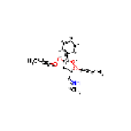 CC#COO[Si](CCCNC)(OOC#CC)c1ccccc1